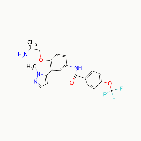 C[C@H](N)COc1ccc(NC(=O)c2ccc(OC(F)(F)F)cc2)cc1-c1ccnn1C